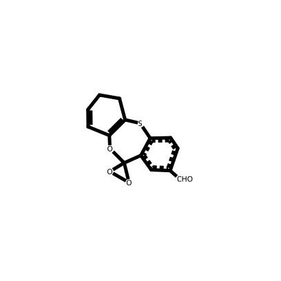 O=Cc1ccc2c(c1)C1(OO1)OC1=C(CCC=C1)S2